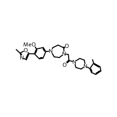 COc1cc(N2CCC(=O)N(CC(=O)N3CCN(c4ccccc4C)CC3)CC2)ccc1-c1cnc(C)o1